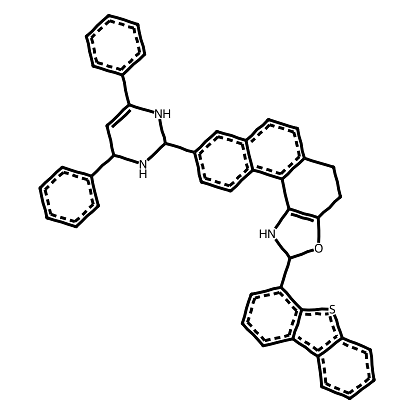 C1=C(c2ccccc2)NC(c2ccc3c4c(ccc3c2)CCC2=C4NC(c3cccc4c3sc3ccccc34)O2)NC1c1ccccc1